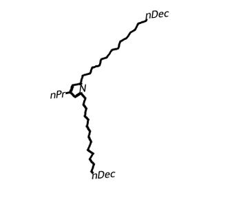 [CH2]CCc1cc(CCCCCCCCCCCCCCCCCCCCCCCC)nc(CCCCCCCCCCCCCCCCCCCCCCCC)c1